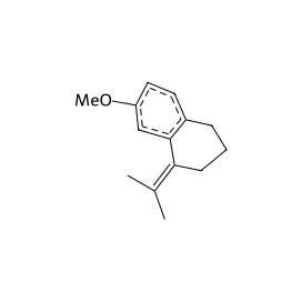 COc1ccc2c(c1)C(=C(C)C)CCC2